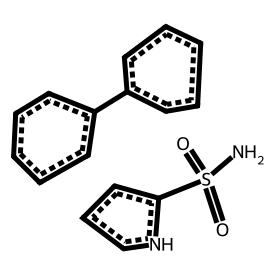 NS(=O)(=O)c1ccc[nH]1.c1ccc(-c2ccccc2)cc1